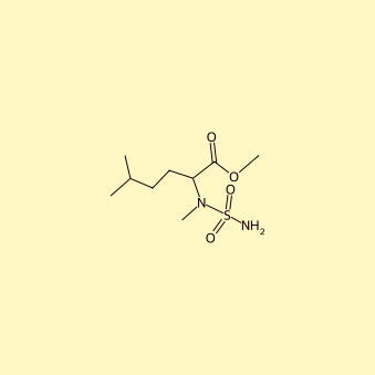 COC(=O)C(CCC(C)C)N(C)S(N)(=O)=O